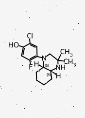 CC1(C)CN(c2cc(Cl)c(O)cc2F)[C@H]2CCCC[C@H]2N1